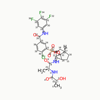 C[C@H](O)C(=O)N[C@@H](C)C(=O)NC[C@@]1(O)C2CC[C@H]1C[C@H](S(=O)(=O)c1cc(C(=O)Nc3cc(F)c(F)c(F)c3)ccc1Cl)C2